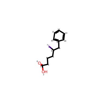 O=C(O)CCCC(I)Cc1ccccc1